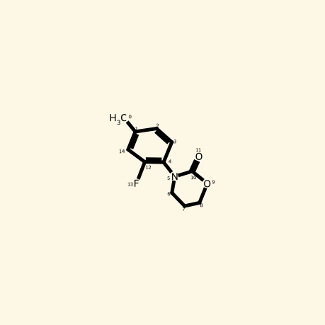 Cc1ccc(N2CCCOC2=O)c(F)c1